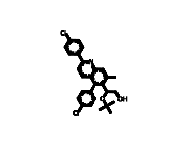 Cc1cc2nc(-c3ccc(Cl)cc3)ccc2c(-c2ccc(Cl)cc2)c1C(CO)OC(C)(C)C